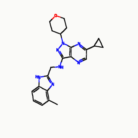 Cc1cccc2[nH]c(CNc3nn(C4CCOCC4)c4nc(C5CC5)cnc34)nc12